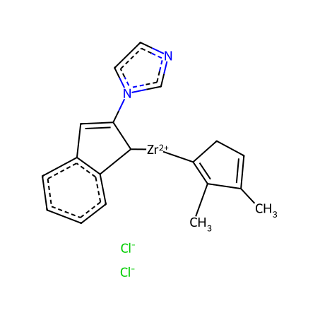 CC1=CC[C]([Zr+2][CH]2C(n3ccnc3)=Cc3ccccc32)=C1C.[Cl-].[Cl-]